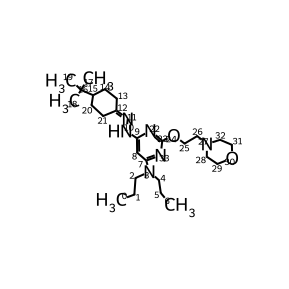 CCCN(CCC)c1cc(NN=C2CCC(C(C)(C)C)CC2)nc(OCCN2CCOCC2)n1